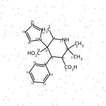 CC1NC(C)(C)C(C(=O)O)C(c2ccccc2)C1(C(=O)O)n1ccnc1